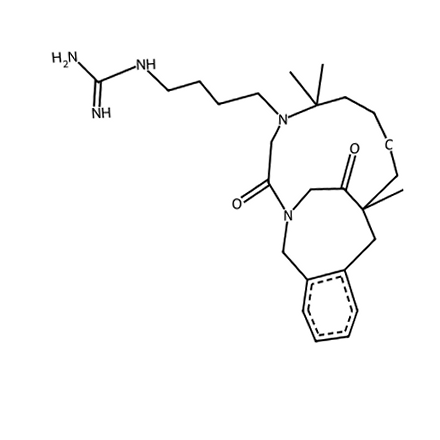 CC12CCCCC(C)(C)N(CCCCNC(=N)N)CC(=O)N(CC1=O)Cc1ccccc1C2